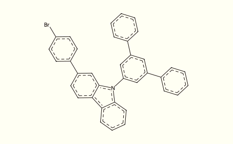 Brc1ccc(-c2ccc3c4ccccc4n(-c4cc(-c5ccccc5)cc(-c5ccccc5)c4)c3c2)cc1